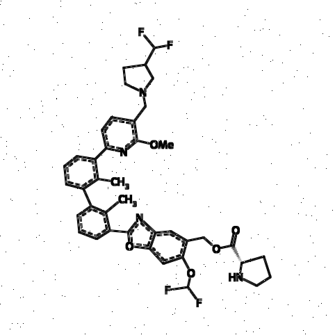 COc1nc(-c2cccc(-c3cccc(-c4nc5cc(COC(=O)[C@@H]6CCCN6)c(OC(F)F)cc5o4)c3C)c2C)ccc1CN1CCC(C(F)F)C1